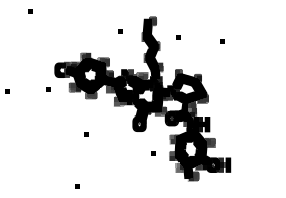 CCCCCn1c(N2CCC[C@H]2C(=O)Nc2ccc(C)c(O)c2)cc(=O)n2cc(-c3ccc(Cl)cc3)nc12